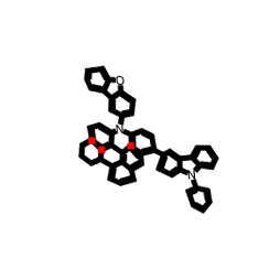 c1ccc(-n2c3ccccc3c3cc(-c4ccc(N(c5ccc6oc7ccccc7c6c5)c5ccccc5-c5cccc6cccc(C7CCCCC7)c56)cc4)ccc32)cc1